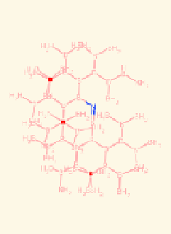 BBB(B)B(B(B)B)B(B(/N=B/B(B(B(B(B)B)B(B)B)B(B(B)B)B(B)B)B(B(B(B)B)B(B)B)B(B(B)B)B(B)B)B(B(B(B)B)B(B)B)B(B(B)B)B(B)B)B(B(B)B)B(B)B